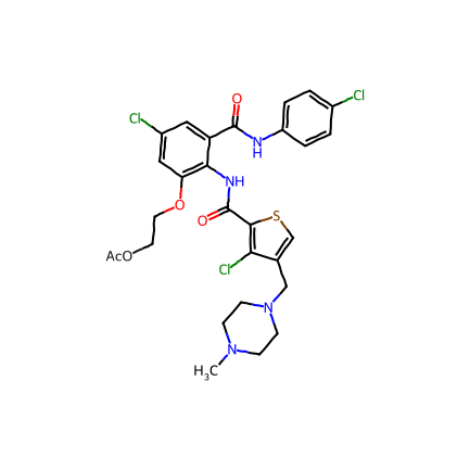 CC(=O)OCCOc1cc(Cl)cc(C(=O)Nc2ccc(Cl)cc2)c1NC(=O)c1scc(CN2CCN(C)CC2)c1Cl